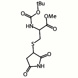 COC(=O)C(CSC1CC(=O)NC1=O)NC(=O)OC(C)(C)C